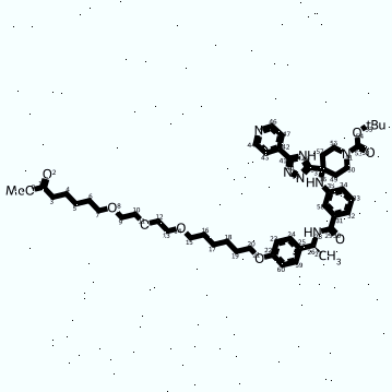 COC(=O)CCCCCOCCOCCOCCCCCCOc1ccc([C@@H](C)NC(=O)c2cccc(NC3(c4nnc(-c5ccncc5)[nH]4)CCN(C(=O)OC(C)(C)C)CC3)c2)cc1